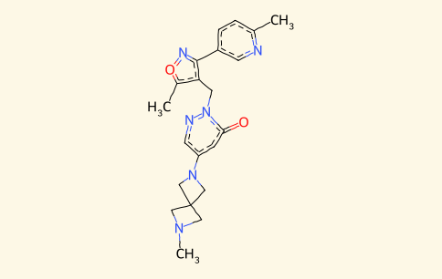 Cc1ccc(-c2noc(C)c2Cn2ncc(N3CC4(CN(C)C4)C3)cc2=O)cn1